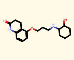 O=C1CCc2c(cccc2OCCCNC2CCCCC2O)N1